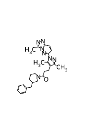 Cc1nn(-c2ccc3nnc(C)n3n2)c(C)c1CCC(=O)N1CCCC(Cc2ccccc2)C1